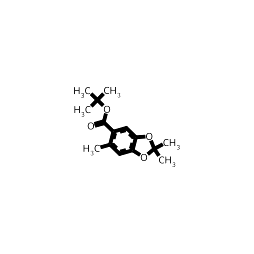 Cc1cc2c(cc1C(=O)OC(C)(C)C)OC(C)(C)O2